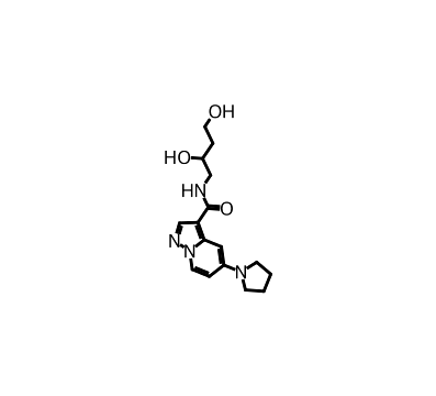 O=C(NCC(O)CCO)c1cnn2ccc(N3CCCC3)cc12